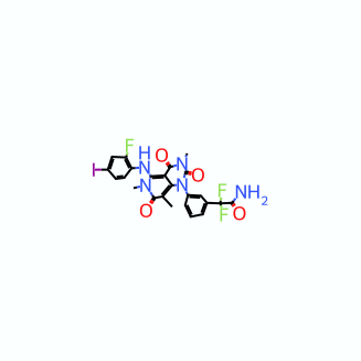 Cc1c(=O)n(C)c(Nc2ccc(I)cc2F)c2c(=O)n(C)c(=O)n(-c3cccc(C(F)(F)C(N)=O)c3)c12